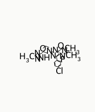 Cc1n[nH]c(C2CN(c3nc(-c4ccc(Cl)cc4F)c4nc(C)n(C)c(=O)c4n3)CCO2)n1